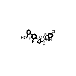 O=C(Nc1ccc(Cl)cc1F)NC1CCN(c2ccc(-c3ccccc3CO)c(F)c2F)C1=O